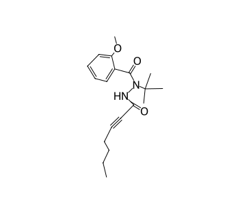 CCCCC#CC(=O)NN(C(=O)c1ccccc1OC)C(C)(C)C